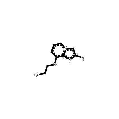 FC(F)(F)CCNc1cccn2cc(Br)nc12